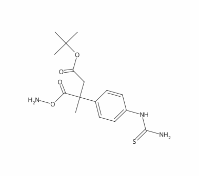 CC(C)(C)OC(=O)CC(C)(C(=O)ON)c1ccc(NC(N)=S)cc1